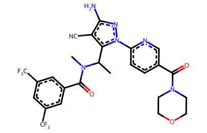 CC(c1c(C#N)c(N)nn1-c1ccc(C(=O)N2CCOCC2)cn1)N(C)C(=O)c1cc(C(F)(F)F)cc(C(F)(F)F)c1